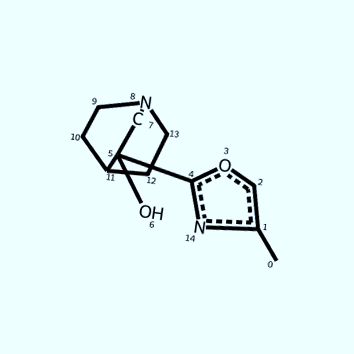 Cc1coc(C2(O)CN3CCC2CC3)n1